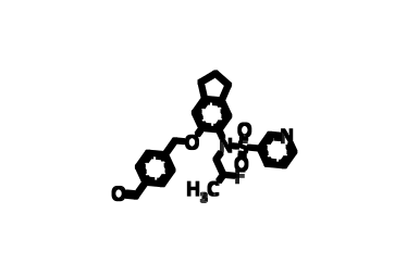 CC(F)CN(c1cc2c(cc1OCc1ccc(C=O)cc1)CCC2)S(=O)(=O)c1cccnc1